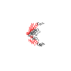 O.O.O.O.O.O.O=[N+]([O-])[O-].O=[N+]([O-])[O-].O=[N+]([O-])[O-].O=[N+]([O-])[O-].O=[N+]([O-])[O-].O=[N+]([O-])[O-].[Co+2].[Co+2].[Ni+2]